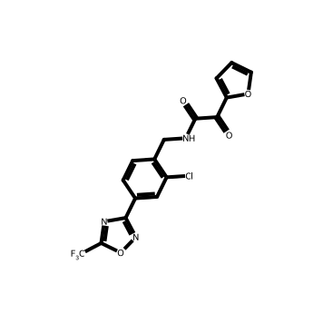 O=C(NCc1ccc(-c2noc(C(F)(F)F)n2)cc1Cl)C(=O)c1ccco1